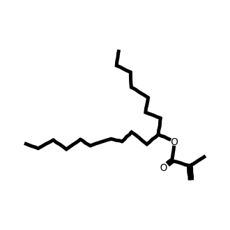 C=C(C)C(=O)OC(CCCCCCC)CCCCCCCCCC